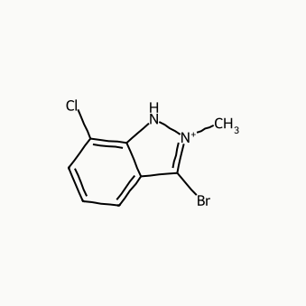 C[n+]1[nH]c2c(Cl)cccc2c1Br